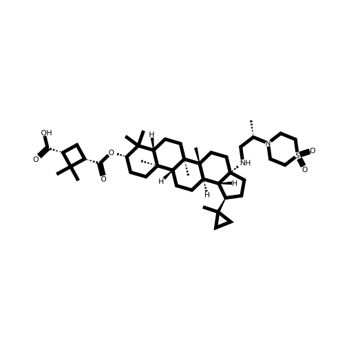 C[C@@H](CN[C@]12CC[C@@H](C3(C)CC3)[C@@H]1[C@H]1CC[C@@H]3[C@@]4(C)CC[C@H](OC(=O)[C@H]5C[C@@H](C(=O)O)C5(C)C)C(C)(C)[C@@H]4CC[C@@]3(C)[C@]1(C)CC2)N1CCS(=O)(=O)CC1